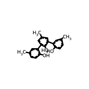 Cc1ccc(O)c(-c2cc(C)cc(-c3cc(C)ccc3O)c2O)c1